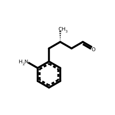 C[C@H](CC=O)Cc1ccccc1N